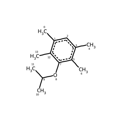 Cc1cc(C)c(C)c(OC(C)C)c1C